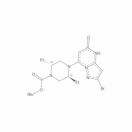 CC[C@@H]1CN(c2cc(=O)[nH]c3cc(Br)nn23)[C@@H](CC)CN1C(=O)OC(C)(C)C